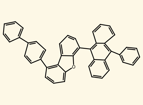 c1ccc(-c2ccc(-c3cccc4oc5c(-c6c7ccccc7c(-c7ccccc7)c7ccccc67)cccc5c34)cc2)cc1